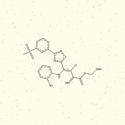 C=C(OCSC)C(=N)/C(Cl)=C(\Nc1ccccc1C(C)C)c1nc(-c2cccc(S(C)(=O)=O)c2)ns1